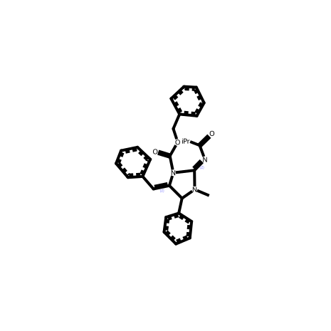 CC(C)C(=O)/N=C1\N(C(=O)OCc2ccccc2)/C(=C\c2ccccc2)C(c2ccccc2)N1C